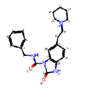 O=C(NCc1ccccc1)n1c(=O)[nH]c2ccc(CCN3CCCCC3)cc21